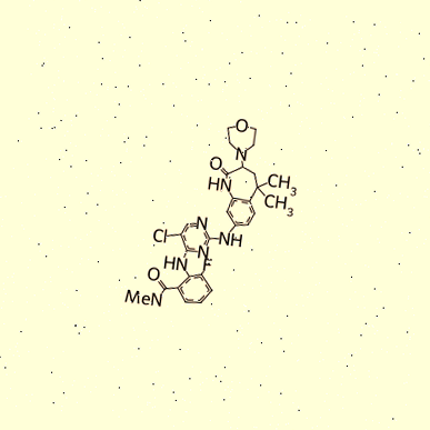 CNC(=O)c1cccc(F)c1Nc1nc(Nc2ccc3c(c2)NC(=O)C(N2CCOCC2)CC3(C)C)ncc1Cl